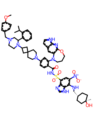 COc1ccc(CN2CCN(C3CC4(CCN(c5ccc(C(=O)NS(=O)(=O)c6cc([N+](=O)[O-])c(NC[C@H]7CC[C@](C)(O)CC7)c7[nH]cnc67)c(N6CCCOc7nc8[nH]ccc8cc76)c5)CC4)C3)C(c3ccccc3C(C)C)C2)cc1